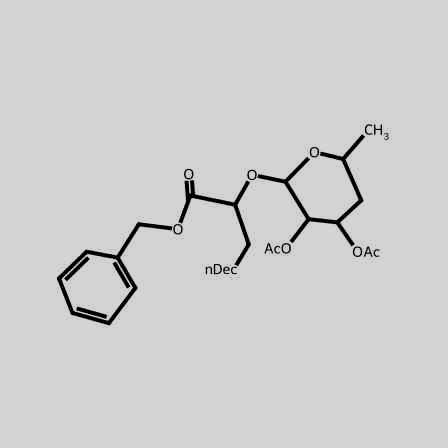 CCCCCCCCCCCC(OC1OC(C)CC(OC(C)=O)C1OC(C)=O)C(=O)OCc1ccccc1